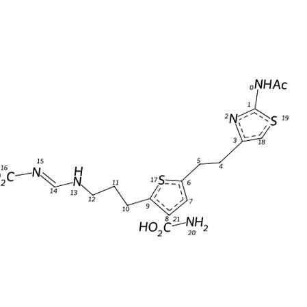 CC(=O)Nc1nc(CCc2ccc(CCCNC=NC(=O)O)s2)cs1.NC(=O)O